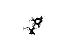 Cc1cc(Br)cc(F)c1OCC1(O)CC1